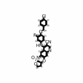 N#Cc1cnc2cc(OC3CCOC3)c([N+](=O)[O-])cc2c1Nc1ccc(OCc2ccc(Cl)cc2)c(F)c1